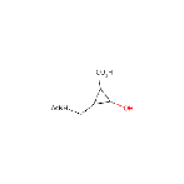 CC(=O)NCC1C(O)C1C(=O)O